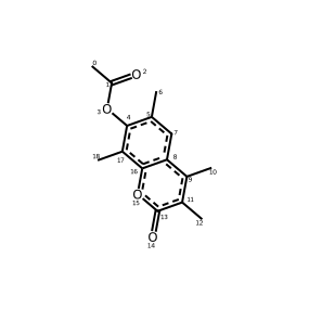 CC(=O)Oc1c(C)cc2c(C)c(C)c(=O)oc2c1C